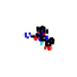 CC(C)(C)OC(=O)N1[C@@H]2CC[C@H]1CN(c1nc(OCCN)nc3c(F)c(-c4cc(O)cc5ccccc45)ncc13)C2